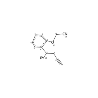 C#CCC(c1ccccc1OCC#N)C(C)C